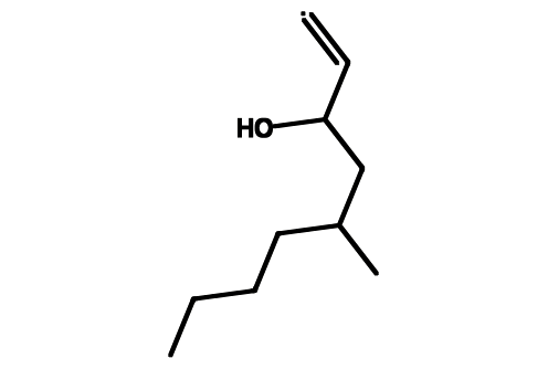 [CH]=CC(O)CC(C)CCCC